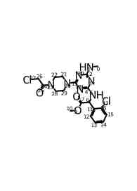 CNc1nc(NC(C(=O)OC)c2ccccc2Cl)nc(N2CCN(C(=O)CCl)CC2)n1